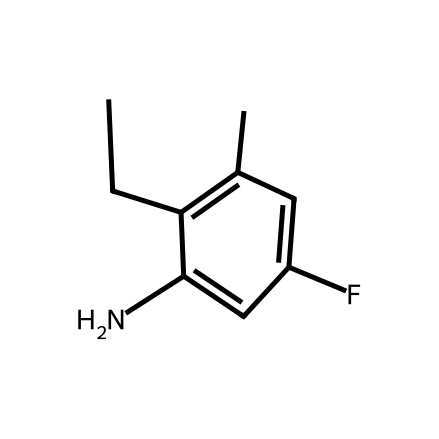 CCc1c(C)cc(F)cc1N